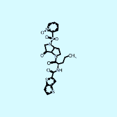 CCCC(NC(=O)c1cc2sccc2s1)C(=O)N1CCC2C1C(=O)CN2S(=O)(=O)c1cccc[n+]1[O-]